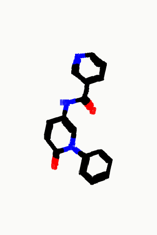 O=C(Nc1ccc(=O)n(-c2ccccc2)c1)c1cccnc1